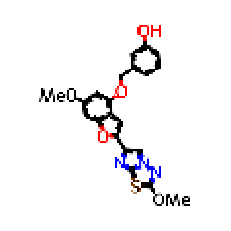 COc1cc(OCc2cccc(O)c2)c2cc(-c3cn4nc(OC)sc4n3)oc2c1